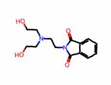 O=C1c2ccccc2C(=O)N1CCN(CCO)CCO